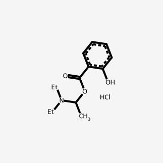 CCN(CC)C(C)OC(=O)c1ccccc1O.Cl